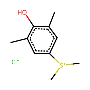 Cc1cc([S+](C)C)cc(C)c1O.[Cl-]